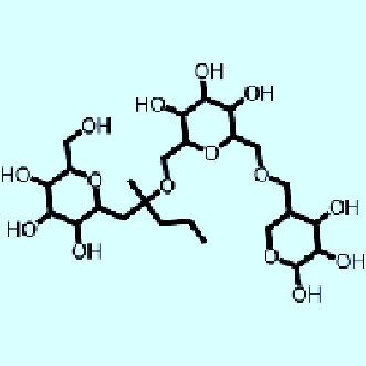 CCCC(C)(CC1OC(CO)C(O)C(O)C1O)OCC1OC(COCC2COC(O)C(O)C2O)C(O)C(O)C1O